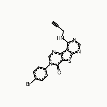 C#CCNc1ncnc2sc3c(=O)n(-c4ccc(Br)cc4)cnc3c12